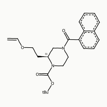 C=COCC[C@H]1CN(C(=O)c2cccc3ccccc23)CCN1C(=O)OC(C)(C)C